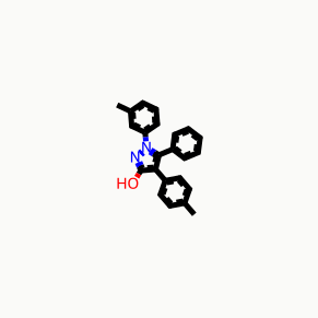 Cc1ccc(-c2c(O)nn(-c3cccc(C)c3)c2-c2ccccc2)cc1